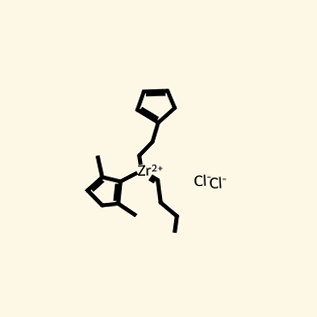 CCC[CH]=[Zr+2]([CH2]CC1=CC=CC1)[C]1=C(C)CC=C1C.[Cl-].[Cl-]